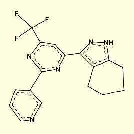 FC(F)(F)c1cc(-c2n[nH]c3c2CCCC3)nc(-c2cccnc2)n1